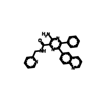 Nc1nc(-c2ccccc2)c(-c2ccc3ncccc3c2)nc1C(=O)NCc1ccccn1